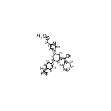 COCc1cn(C2CC(c3ccc(C(F)(F)F)cc3)CN(C(=O)N3CCOCC3)C2)cn1